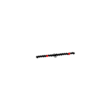 CCCCCCC=CCCCCCCCCCCCC(=O)OCCCCCCCCCCCCCCCCC(C)C